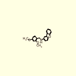 COc1ccc(CNc2ccc3oc4ccccc4c3c2)c(OC)c1